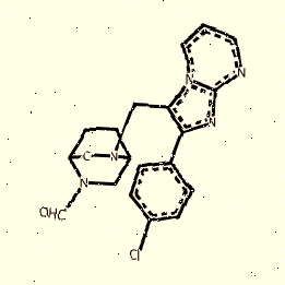 O=CN1CC2CCC1CN2Cc1c(-c2ccc(Cl)cc2)nc2ncccn12